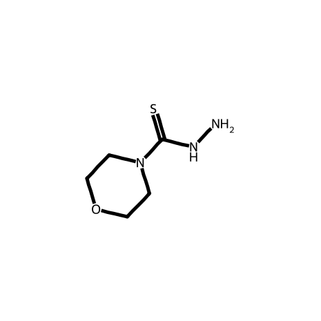 NNC(=S)N1CCOCC1